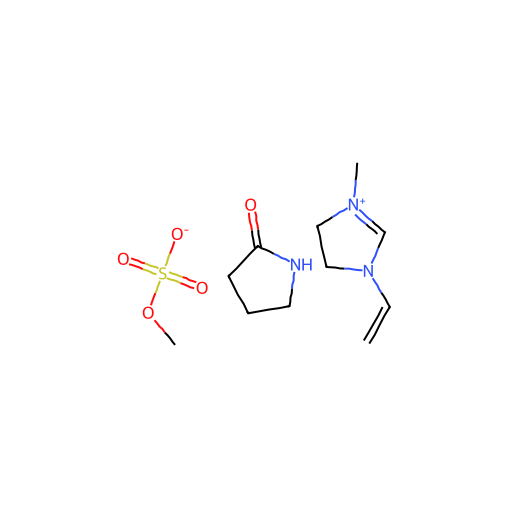 C=CN1C=[N+](C)CC1.COS(=O)(=O)[O-].O=C1CCCN1